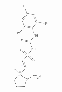 CC(C)c1cc(F)cc(C(C)C)c1NC(=O)NS(=O)(=O)/C=C/[C@]1(C)CCCN1C(=O)O